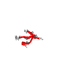 CCC(CCCCCCCCCCCCCCC(=O)OCCCCCC(C)C)CCC(=O)OCCCCCC(C)C.CCCCCCCCOC(=O)CCCCCCCCCCCCCCC(CC)CCC(=O)OCCCCCCCC